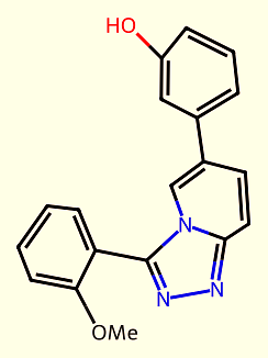 COc1ccccc1-c1nnc2ccc(-c3cccc(O)c3)cn12